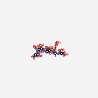 Cc1cc(N=Nc2c(S(=O)(=O)O)cc3c(S(=O)(=O)O)c(N=Nc4cc(S(=O)(=O)O)c5cc(SOOO)c(N=Nc6ccc([N+](=O)[O-])cc6S(=O)(=O)O)c(O)c5c4N)ccc3c2O)c(OCCCSOOO)cc1N=Nc1ccc(S(=O)(=O)O)cc1C(=O)O